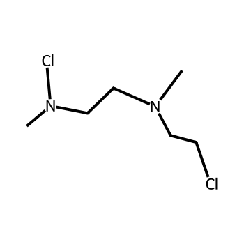 CN(Cl)CCN(C)CCCl